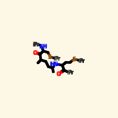 CC(C)NC(CSC(C)C)C(=O)C(C)CCC(C)NC(CCSC(C)C)C(=O)C(C)C